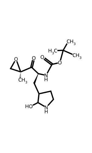 CC(C)(C)OC(=O)N[C@@H](CC1CCNC1O)C(=O)[C@@]1(C)CO1